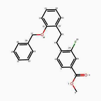 COC(=O)c1ccc(CCc2ccccc2OCc2ccccc2)c(F)c1